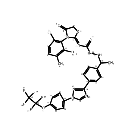 Cc1ccc(Cl)c(N2C(=O)CS/C2=N\C(=S)NNC(C)c2ccc(-c3ncn(-c4ccc(OC(F)(F)C(F)(F)F)cc4)n3)cc2)c1C